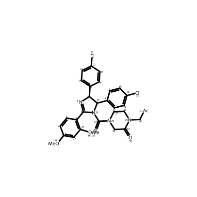 COc1ccc(C2=NC(c3ccc(Cl)cc3)C(c3ccc(Cl)cc3)N2C(=O)N2CCN(CC(C)=O)C(=O)C2)c(OC)c1